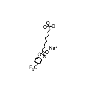 O=S(=O)([O-])CCCCCCCCS(=O)(=O)Oc1ccc(C(F)(F)F)cc1.[Na+]